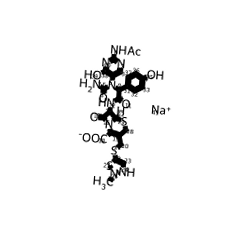 CC(=O)Nc1ncc(N(C(N)=O)C(C(=O)NC2C(=O)N3C(C(=O)[O-])=C(CSC4=CNN(C)S4)CS[C@@H]23)c2ccc(O)cc2)c(O)n1.[Na+]